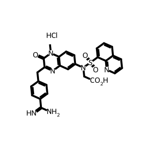 Cl.Cn1c(=O)c(Cc2ccc(C(=N)N)cc2)nc2cc(N(CC(=O)O)S(=O)(=O)c3cccc4cccnc34)ccc21